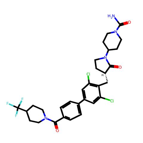 NC(=O)N1CCC(N2CC[C@@H](Cc3c(Cl)cc(-c4ccc(C(=O)N5CCC(C(F)(F)F)CC5)cc4)cc3Cl)C2=O)CC1